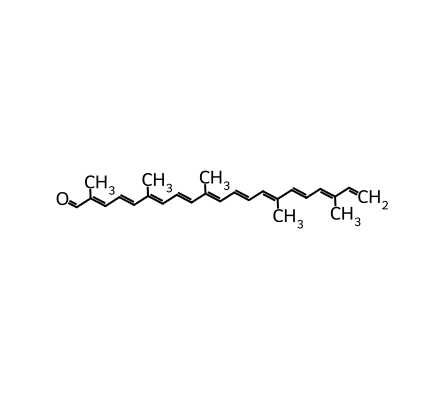 C=C/C(C)=C/C=C/C(C)=C/C=C/C=C(C)/C=C/C=C(C)/C=C/C=C(\C)C=O